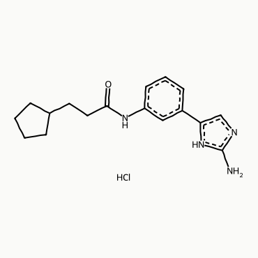 Cl.Nc1ncc(-c2cccc(NC(=O)CCC3CCCC3)c2)[nH]1